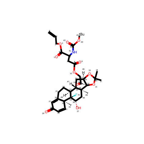 C=CCOC(=O)C(CC(=O)OCC(=O)[C@@]12OC(C)(C)O[C@@H]1C[C@H]1[C@@H]3CCC4=CC(=O)C=C[C@]4(C)[C@@]3(F)[C@@H](O)C[C@@]12C)NC(=O)OC(C)(C)C